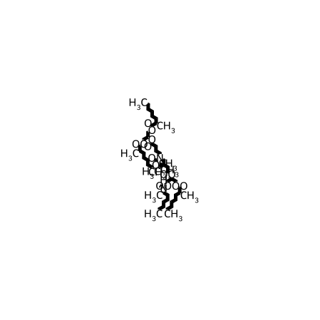 CCCCCCC(C)C(=O)OCC(COC(=O)C(C)CCCCCC)OC(=O)CCCN(CCCC(=O)OC(COC(=O)C(C)CCCCCC)CO[NH+]([O-])C(C)CCCCCC)C(=O)OC(C)(C)C